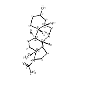 CC(=O)[C@@H]1CCC2[C@H]3CC[C@H]4CC(O)CC[C@@]4(C)[C@@H]3CC[C@]21C